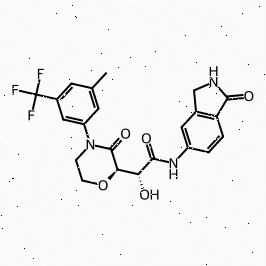 Cc1cc(N2CCO[C@H]([C@@H](O)C(=O)Nc3ccc4c(c3)CNC4=O)C2=O)cc(C(F)(F)F)c1